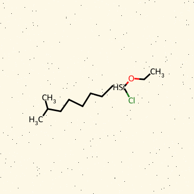 CCO[SiH](Cl)CCCCCCC(C)C